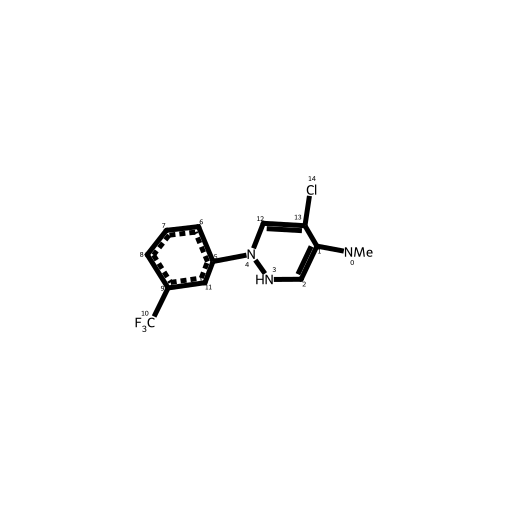 CNC1=CNN(c2cccc(C(F)(F)F)c2)C=C1Cl